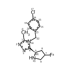 Cc1nnc([C@H]2CC(F)CN2)n1Cc1ccc(Cl)cc1